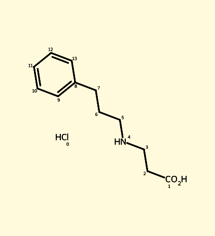 Cl.O=C(O)CCNCCCc1ccccc1